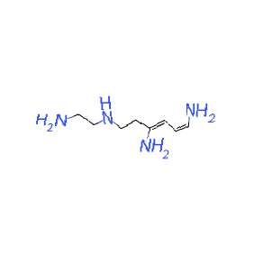 N/C=C\C=C(/N)CCNCCN